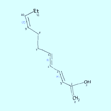 C=C(O)/C=C/C=C/CC/C=C\CC